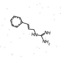 N=C(N)NCC=Cc1ccccc1